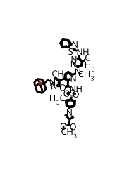 COC(=O)C1CN(c2ccc(S(=O)(=O)NC(=O)c3nc(N(C)c4cc(C)c(Nc5nc6ccccc6s5)nn4)ccc3-c3cnn(CC45CC6CC(CC(C6)C4)C5)c3C)c(C)c2)C1